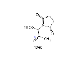 CCCCCCCCCC/C=C(\C)C(CCCCCC)N1C(=O)CCC1=O